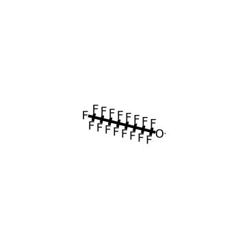 [O]C(F)(F)C(F)(F)C(F)(F)C(F)(F)C(F)(F)C(F)(F)C(F)(F)C(F)(F)F